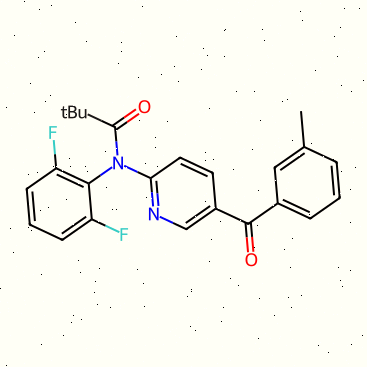 Cc1cccc(C(=O)c2ccc(N(C(=O)C(C)(C)C)c3c(F)cccc3F)nc2)c1